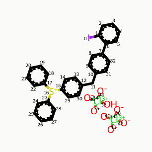 Ic1ccccc1-c1ccc(Cc2ccc([S+](c3ccccc3)c3ccccc3)cc2)cc1.[O-][Cl+3]([O-])([O-])O.[O-][Cl+3]([O-])([O-])[O-]